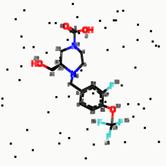 O=C(O)N1CCN(Cc2ccc(OC(F)(F)F)c(F)c2)[C@@H](CO)C1